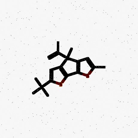 C=C(C)[Si]1(C)c2cc(C)sc2-c2sc([Si](C)(C)C)cc21